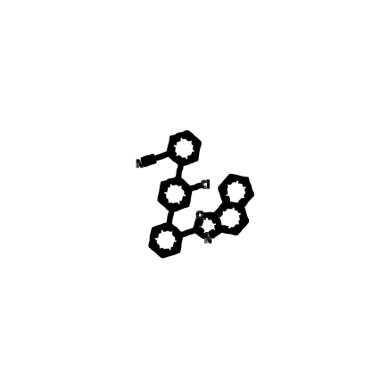 N#Cc1ccccc1-c1ccc(-c2ccccc2-c2nc3ccc4ccccc4c3o2)cc1Cl